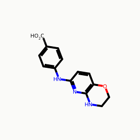 O=C(O)c1ccc(Nc2ccc3c(n2)NCCO3)cc1